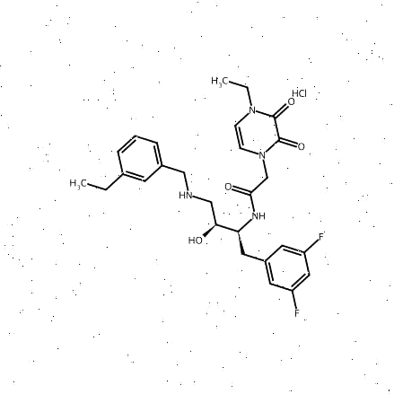 CCc1cccc(CNC[C@H](O)[C@H](Cc2cc(F)cc(F)c2)NC(=O)Cn2ccn(CC)c(=O)c2=O)c1.Cl